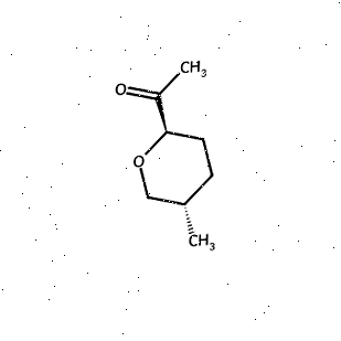 CC(=O)[C@H]1CC[C@H](C)CO1